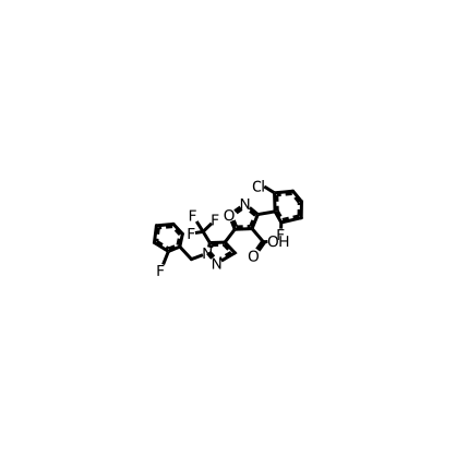 O=C(O)c1c(-c2c(F)cccc2Cl)noc1-c1cnn(Cc2ccccc2F)c1C(F)(F)F